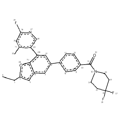 CCc1cc2cc(-c3ccc(C(=O)N4CCC(F)(F)CC4)cc3)cc(-c3cnc(F)cc3C)c2o1